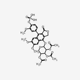 COc1cc2c(OC3OCC(OC(C)=O)C(OC(C)=O)C3OC(C)=O)c3c(c(-c4ccc(OP(=O)(O)O)c(OC)c4)c2cc1OC)C(=O)OC3